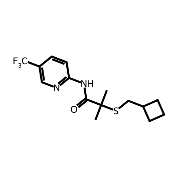 CC(C)(SCC1CCC1)C(=O)Nc1ccc(C(F)(F)F)cn1